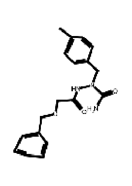 Cc1ccc(CN(NC(=O)COCc2ccccc2)C(N)=O)cc1